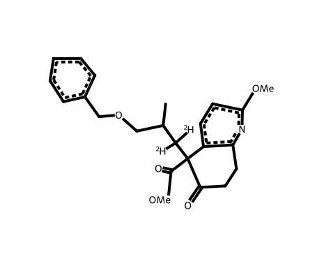 [2H]C([2H])(C(C)COCc1ccccc1)C1(C(=O)OC)C(=O)CCc2nc(OC)ccc21